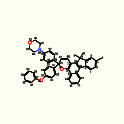 Cc1ccc2c(c1)C(C)(C)c1c3c(c4ccccc4c1-2)OC(c1ccc(Oc2ccccc2)cc1)(c1ccc(N2CCOCC2)cc1)C=C3